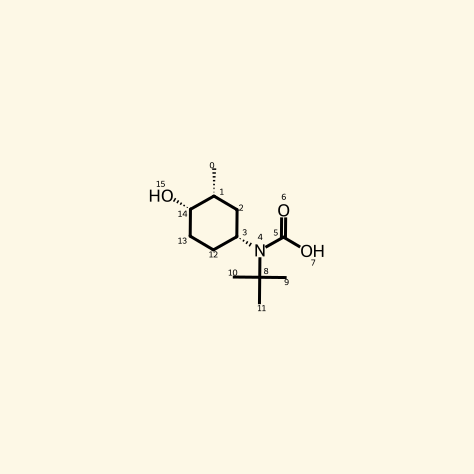 C[C@@H]1C[C@H](N(C(=O)O)C(C)(C)C)CC[C@@H]1O